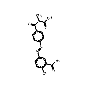 CN(C(=O)O)C(=O)c1ccc(N=Nc2ccc(O)c(C(=O)O)c2)cc1